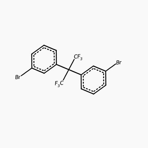 FC(F)(F)C(c1cccc(Br)c1)(c1cccc(Br)c1)C(F)(F)F